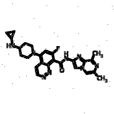 Cc1cn2cc(NC(=O)c3c(F)cc(N4CCC(NC5CC5)CC4)c4ccnnc34)nc2c(C)n1